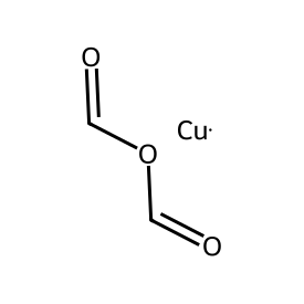 O=COC=O.[Cu]